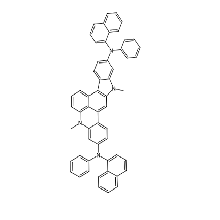 CN1c2cc(N(c3ccccc3)c3cccc4ccccc34)ccc2-c2cc3c(c4cccc1c24)c1ccc(N(c2ccccc2)c2cccc4ccccc24)cc1n3C